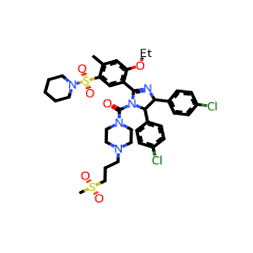 CCOc1cc(C)c(S(=O)(=O)N2CCCCC2)cc1C1=NC(c2ccc(Cl)cc2)C(c2ccc(Cl)cc2)N1C(=O)N1CCN(CCCS(C)(=O)=O)CC1